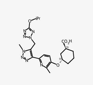 Cc1nc(-c2nnn(C)c2Cn2nnc(OC(C)C)n2)ccc1O[C@H]1CCC[C@H](C(=O)O)C1